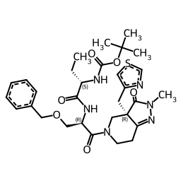 CC[C@H](NC(=O)OC(C)(C)C)C(=O)N[C@H](COCc1ccccc1)C(=O)N1CCC2=NN(C)C(=O)[C@]2(Cc2cscn2)C1